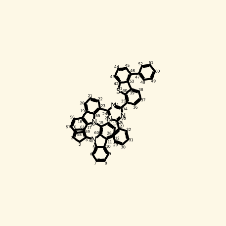 C1=CCC(n2c3ccccc3c3cccc(-n4c5c(c6cccc(-c7nc(-c8ccccc8)nc(-c8cccc9c8sc8cccc(-c%10ccccc%10)c89)n7)c64)C=CCC5)c32)=C1